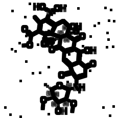 COC(=O)c1c(C)c(N(O)O)c2c(c1O)[C@]1(O)C(=O)c3cc4c(c(O)c3C(=O)[C@]1(OC)[C@H](O)C2)C(=O)C=C(N[C@H]1O[C@@H](C)[C@H](OC)[C@@H](O)[C@H]1OC)C4=O